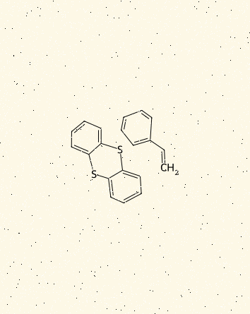 C=Cc1ccccc1.c1ccc2c(c1)Sc1ccccc1S2